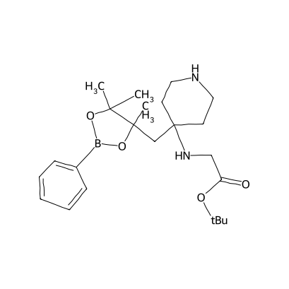 CC(C)(C)OC(=O)CNC1(CC2(C)OB(c3ccccc3)OC2(C)C)CCNCC1